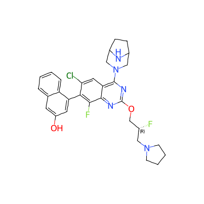 Oc1cc(-c2c(Cl)cc3c(N4CC5CCC(C4)N5)nc(OC[C@H](F)CN4CCCC4)nc3c2F)c2ccccc2c1